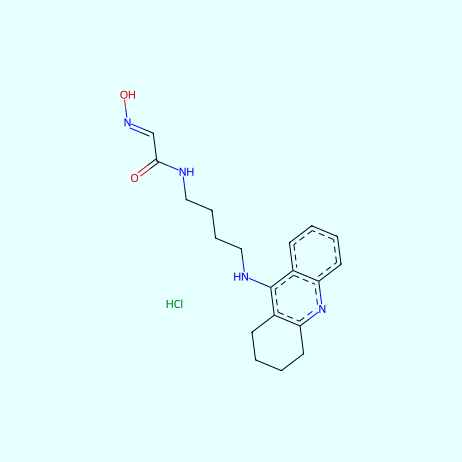 Cl.O=C(C=NO)NCCCCNc1c2c(nc3ccccc13)CCCC2